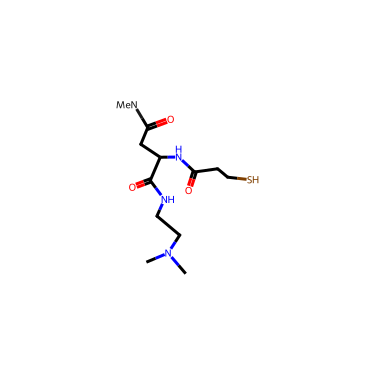 CNC(=O)CC(NC(=O)CCS)C(=O)NCCN(C)C